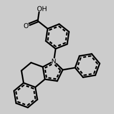 O=C(O)c1cccc(-n2c(-c3ccccc3)cc3c2CCc2ccccc2-3)c1